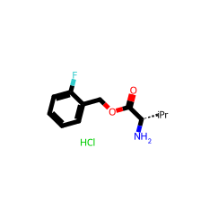 CC(C)[C@H](N)C(=O)OCc1ccccc1F.Cl